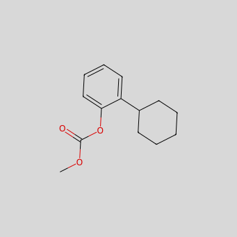 COC(=O)Oc1ccccc1C1CCCCC1